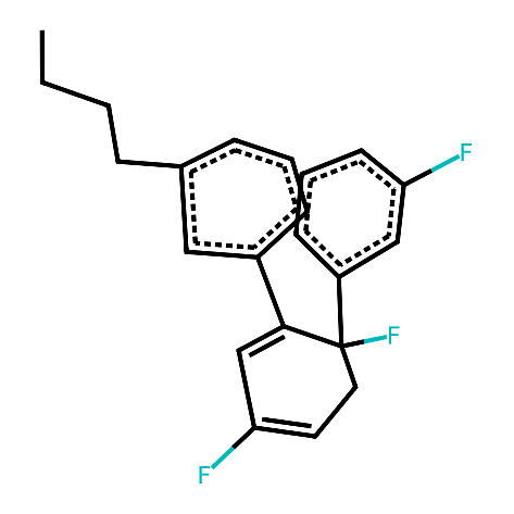 CCCCc1cccc(C2=CC(F)=CCC2(F)c2cccc(F)c2)c1